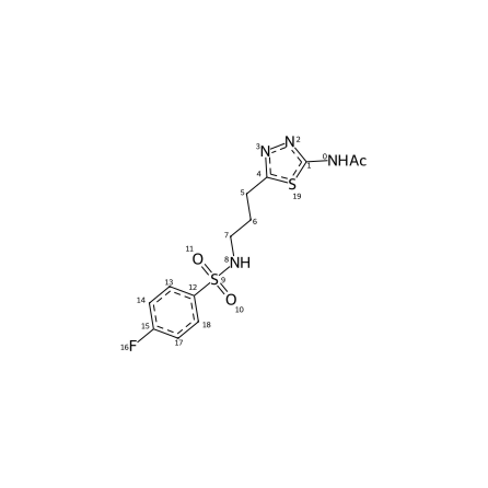 CC(=O)Nc1nnc(CCCNS(=O)(=O)c2ccc(F)cc2)s1